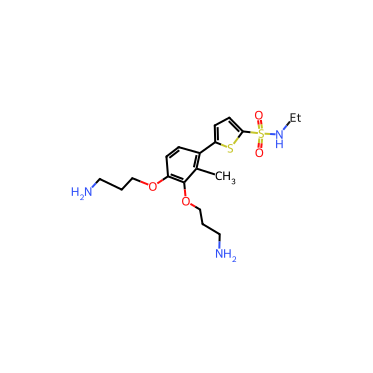 CCNS(=O)(=O)c1ccc(-c2ccc(OCCCN)c(OCCCN)c2C)s1